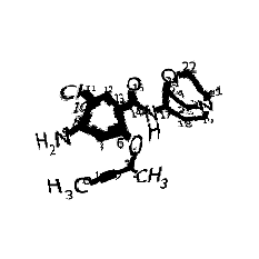 CC#C[C@H](C)Oc1cc(N)c(Cl)cc1C(=O)NC1CCN2CCOC1C2